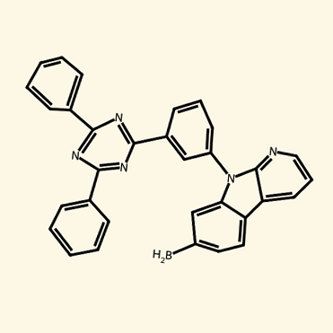 Bc1ccc2c3cccnc3n(-c3cccc(-c4nc(-c5ccccc5)nc(-c5ccccc5)n4)c3)c2c1